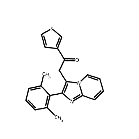 Cc1cccc(C)c1-c1nc2ccccn2c1CC(=O)c1ccsc1